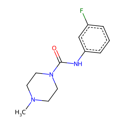 CN1CCN(C(=O)Nc2cccc(F)c2)CC1